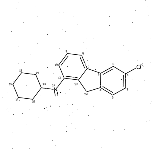 Clc1ccc2c(c1)-c1cccc(NC3CCCCC3)c1C2